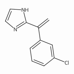 C=C(c1cccc(Cl)c1)c1ncc[nH]1